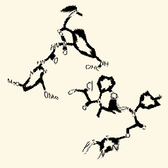 CC(C)N(C(=O)COc1nnc(C(F)(F)F)s1)c1ccc(F)cc1.CC1COc2ccccc2N1C(=O)C(Cl)Cl.COc1cc(OC)nc(NC(=O)NS(=O)(=O)c2cc(NC=O)ccc2C(=O)N(C)C)n1